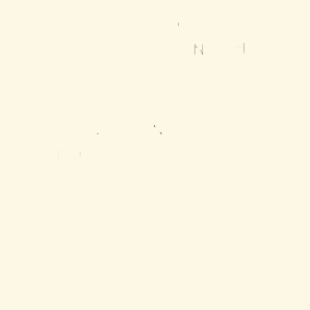 CN(C)C1CCN(CC(c2ccc3ccccc3c2)C2(O)CCCCC2)CC1